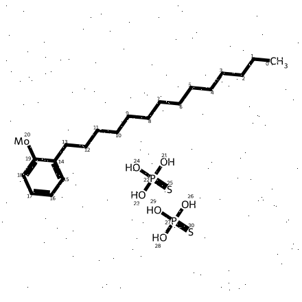 CCCCCCCCCCCCCCc1cccc[c]1[Mo].OP(O)(O)=S.OP(O)(O)=S